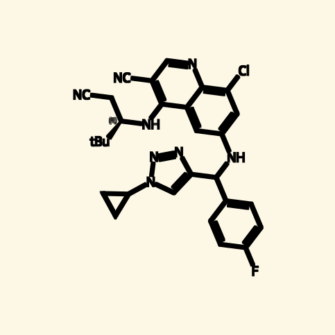 CC(C)(C)[C@@H](CC#N)Nc1c(C#N)cnc2c(Cl)cc(NC(c3ccc(F)cc3)c3cn(C4CC4)nn3)cc12